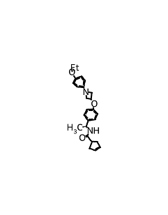 CCOc1ccc(N2CC(Oc3ccc([C@H](C)NC(=O)C4CC=CC4)cc3)C2)cc1